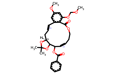 COCOc1cc(OC)cc2c1C(=O)OCC/C=C\C(OC(=O)c1ccccc1)C1OC(C)(C)O[C@H]1C/C=C/2